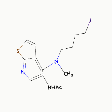 CC(=O)Nc1cnc2sccc2c1N(C)CCCCI